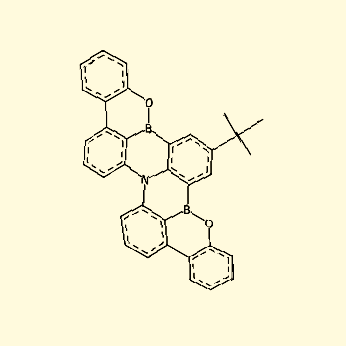 CC(C)(C)c1cc2c3c(c1)B1Oc4ccccc4-c4cccc(c41)N3c1cccc3c1B2Oc1ccccc1-3